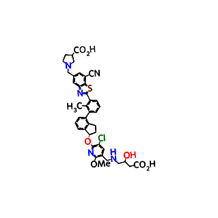 COc1nc(O[C@H]2CCc3c(-c4cccc(-c5nc6cc(CN7CCC(C(=O)O)C7)cc(C#N)c6s5)c4C)cccc32)c(Cl)cc1CNCC(O)CC(=O)O